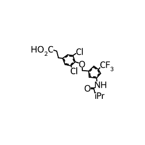 CC(C)C(=O)Nc1cc(COc2c(Cl)cc(CCC(=O)O)cc2Cl)cc(C(F)(F)F)c1